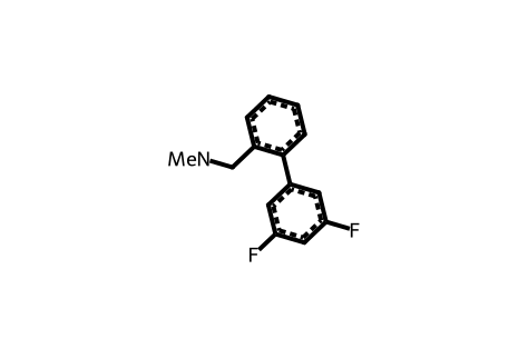 CNCc1ccccc1-c1cc(F)cc(F)c1